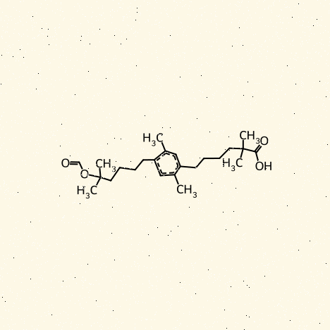 Cc1cc(CCCCC(C)(C)C(=O)O)c(C)cc1CCCCC(C)(C)OC=O